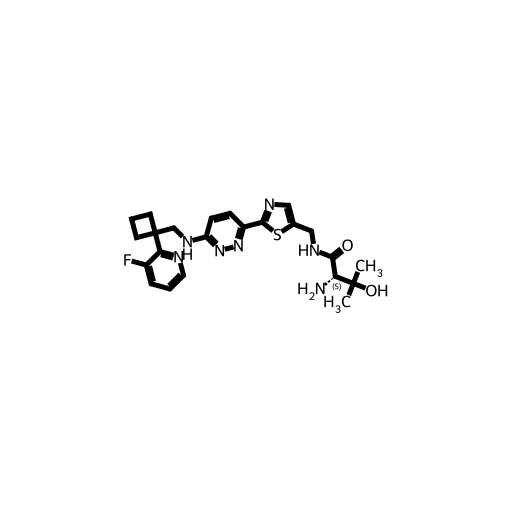 CC(C)(O)[C@H](N)C(=O)NCc1cnc(-c2ccc(NCC3(c4ncccc4F)CCC3)nn2)s1